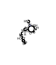 CC[C@H]1OC(=O)[C@H](C)C(=O)[C@H](C)[C@@H](O[C@@H]2O[C@H](C)C[C@H](N(C)CCc3cn([C@H](CF)[C@H](O)c4ccc(S(C)(=O)=O)cc4)nn3)[C@H]2O)[C@](C)(OC)C[C@@H](C)/C(=N\OC2CCCNC2)[C@H](C)[C@@H](O)[C@]1(C)O